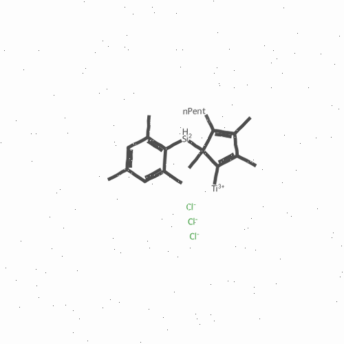 CCCCCC1=C(C)C(C)=[C]([Ti+3])C1(C)[SiH2]c1c(C)cc(C)cc1C.[Cl-].[Cl-].[Cl-]